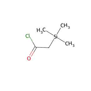 C[Si](C)(C)CC(=O)Cl